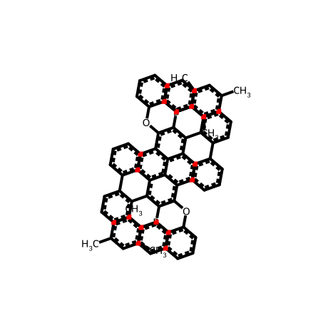 Cc1cc(C)c(B2c3ccccc3Oc3c2c(-c2c(-c4ccccc4)cccc2-c2ccccc2)c2ccc4c5c(c(-c6c(-c7ccccc7)cccc6-c6ccccc6)c6ccc3c2c46)B(c2c(C)cc(C)cc2C)c2ccccc2O5)c(C)c1